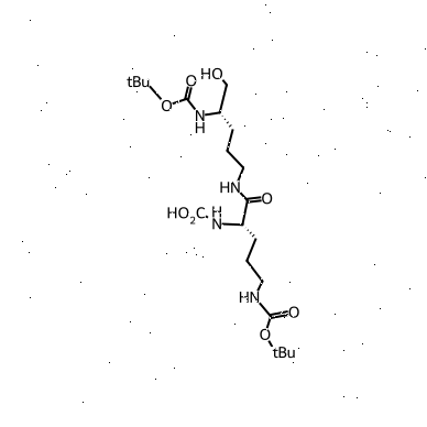 CC(C)(C)OC(=O)NCCC[C@H](NC(=O)O)C(=O)NCCC[C@@H](CO)NC(=O)OC(C)(C)C